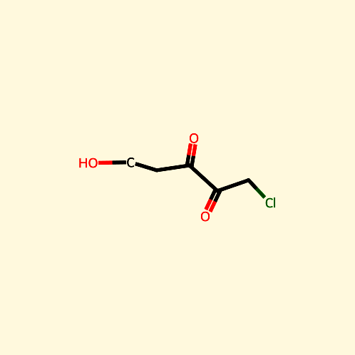 O=C(CCl)C(=O)CCO